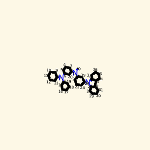 CN(c1cccc(N(c2ccccc2)c2ccccc2)c1)c1cccc(-n2c3ccccc3c3ccccc32)c1